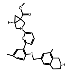 COC(=O)[C@]12C[C@H]1CN(c1cccc(-c3cc(C)ccc3OCc3cc(C)c4c(c3)CCNC4)n1)C2